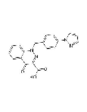 O=C(O)c1nn(Cc2ccc(-n3cccn3)cc2)c2ccccc2c1=O